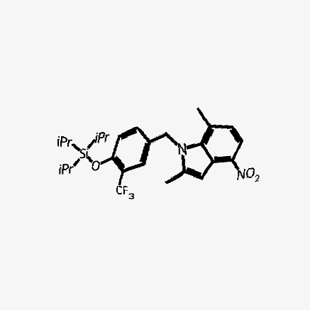 Cc1ccc([N+](=O)[O-])c2cc(C)n(Cc3ccc(O[Si](C(C)C)(C(C)C)C(C)C)c(C(F)(F)F)c3)c12